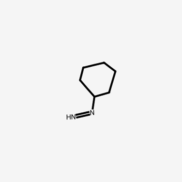 N=NC1CCCCC1